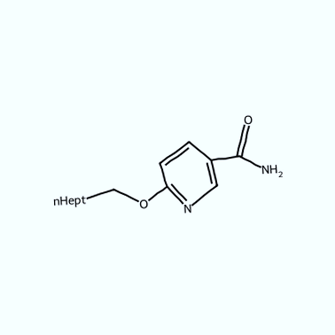 CCCCCCCCOc1ccc(C(N)=O)cn1